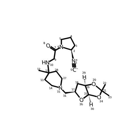 [C-]#[N+][C@@H]1CCCN1C(=O)CNC1(C)CCN(C[C@H]2C[C@H]3OC(C)(C)O[C@H]3O2)CC1